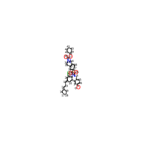 COc1ccc(CN(c2ccc(CCCC3CCCC3)cc2F)S(=O)(=O)c2ccc3c(c2)CCN(C(=O)OC2CCCCC2)C3)cc1